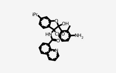 Cc1c(N)cccc1C1(O)Oc2cc(C(C)C)ccc2C1(C=O)NC(=O)c1cccc2cccnc12